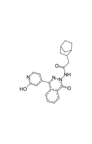 O=C(CC1CC2CCC1C2)Nn1nc(-c2ccnc(O)c2)c2ccccc2c1=O